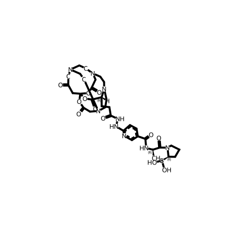 C[C@@H](NC(=O)c1ccc(NNC(=O)CC[C@@H]2C(=O)OC34CC(=O)CN5CCN(CCN2CCN(CC5)CC(=O)O3)CC(=O)O4)nc1)C(=O)N1CCC[C@H]1B(O)O